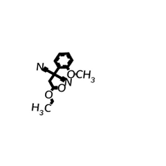 CCOC(=O)CC(C#N)(C#N)c1ccccc1OC